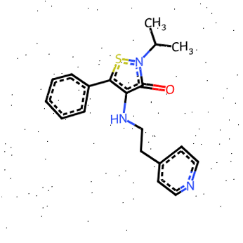 CC(C)n1sc(-c2ccccc2)c(NCCc2ccncc2)c1=O